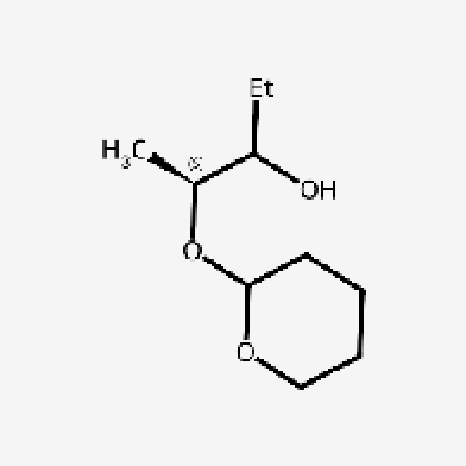 CCC(O)[C@H](C)OC1CCCCO1